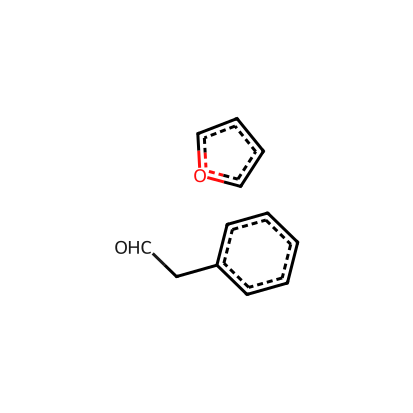 O=CCc1ccccc1.c1ccoc1